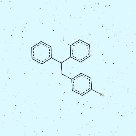 Brc1ccc(CC(c2ccccc2)c2ccccc2)cc1